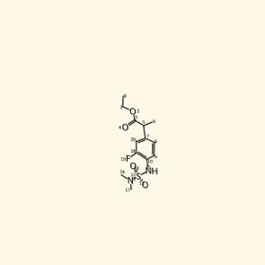 CCOC(=O)C(C)c1ccc(NS(=O)(=O)N(C)C)c(F)c1